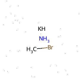 CBr.N.[KH]